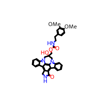 COc1ccc(CCNC(=O)OCC2(O)Cn3c4ccccc4c4c5c(c6c7ccccc7n(c6c43)C2)C(=O)NC5)cc1OC